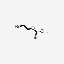 C[C@H](Br)OCCBr